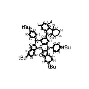 Cc1cc(C)c2c(c1)N(c1cc3c4c(c1)N(c1ccc(C(C)(C)C)cc1)c1c(oc5cc(C(C)(C)C)ccc15)B4c1c(sc4cc(C(C)(C)C)ccc14)N3c1ccc(C(C)(C)C)cc1)C1(C)CCCCC21C